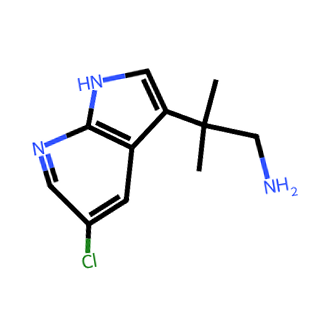 CC(C)(CN)c1c[nH]c2ncc(Cl)cc12